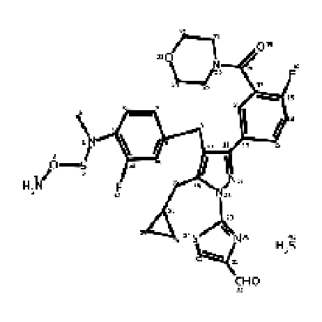 CN(SON)c1ccc(Cc2c(-c3ccc(F)c(C(=O)N4CCOCC4)c3)nn(-c3nc(C=O)cs3)c2CC2CC2)cc1F.S